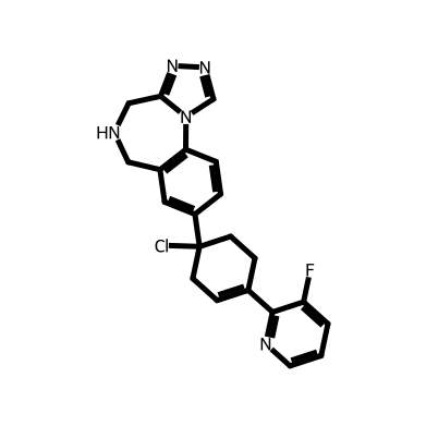 Fc1cccnc1C1=CCC(Cl)(c2ccc3c(c2)CNCc2nncn2-3)CC1